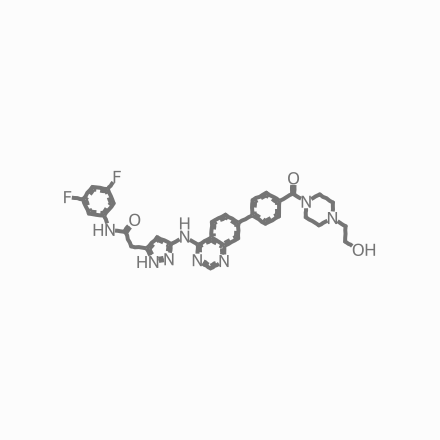 O=C(Cc1cc(Nc2ncnc3cc(-c4ccc(C(=O)N5CCN(CCO)CC5)cc4)ccc23)n[nH]1)Nc1cc(F)cc(F)c1